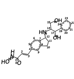 O=C(/C=C/c1ccc2c(c1)CCC2NC(CO)C(O)c1ccccc1)NO